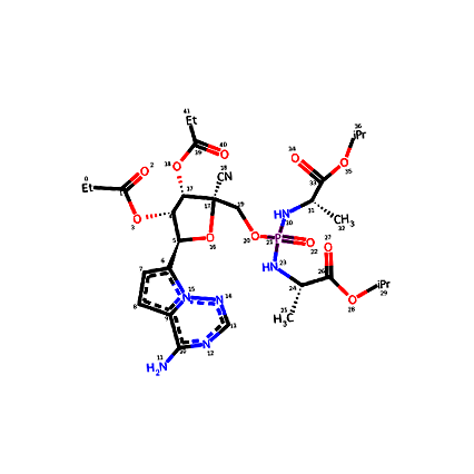 CCC(=O)O[C@H]1[C@H](c2ccc3c(N)ncnn23)O[C@](C#N)(COP(=O)(N[C@@H](C)C(=O)OC(C)C)N[C@@H](C)C(=O)OC(C)C)[C@H]1OC(=O)CC